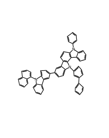 c1ccc(-c2cccc(-n3c4ccc(-c5ccc6c(c5)c5ccccc5n6-c5cccc6ccccc56)cc4c4ccc5c(c6ccccc6n5-c5ccccc5)c43)c2)cc1